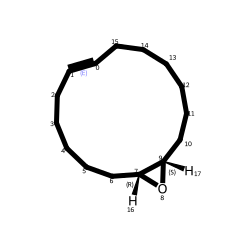 C1=C/CCCCC[C@H]2O[C@H]2CCCCCC/1